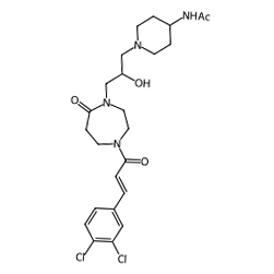 CC(=O)NC1CCN(CC(O)CN2CCN(C(=O)/C=C/c3ccc(Cl)c(Cl)c3)CCC2=O)CC1